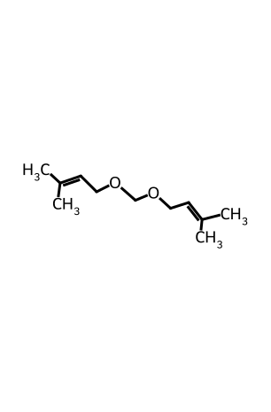 CC(C)=CCOCOCC=C(C)C